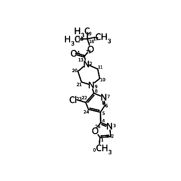 Cc1cnc(-c2cnc(N3CCN(C(=O)OC(C)(C)C)CC3)c(Cl)c2)o1